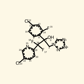 OC(Cn1cnnn1)(c1ccc(Cl)cc1F)C(F)(F)c1ccc(Cl)cn1